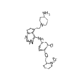 NC1CCN(Cc2ccn3ncnc(Nc4ccc(OCc5cccc[n+]5[O-])c(Cl)c4)c23)CC1